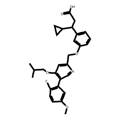 COc1ccc(F)c(-c2cnc(COc3cccc(C(CC(=O)O)C4CC4)c3)cc2OCC(C)C)c1